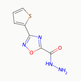 NNC(=O)c1nc(-c2cccs2)no1